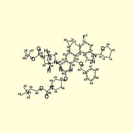 Cc1c(F)cc2c(cnn2C2CCCCO2)c1-c1c(C2CC2)cc2c(N3C[C@@H]4C[C@H]3CN4C(=O)OC(C)(C)C)nc(OC3CCN(C(=O)OCC[Si](C)(C)C)CC3)nc2c1OCc1ccccc1